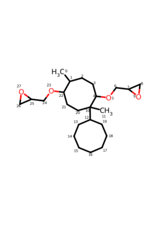 CC1CCC(OCC2CO2)C(C)(C2CCCCCCC2)CCC1OCC1CO1